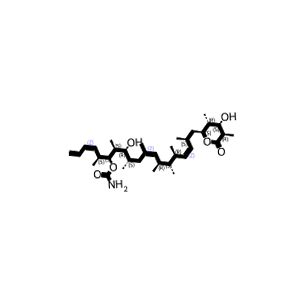 C=C/C=C\[C@H](C)[C@H](OC(N)=O)[C@@H](C)[C@H](O)[C@@H](C)C/C(C)=C\[C@H](C)[C@@H](C)[C@@H](C)/C=C\[C@@H](C)C[C@@H]1OC(=O)[C@H](C)[C@@H](O)[C@H]1C